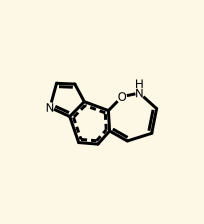 C1=CNOc2c3c(ccc2=C1)=NC=C3